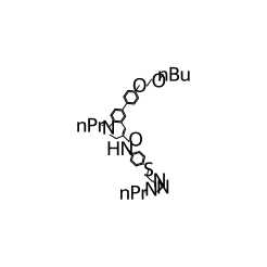 CCCCOCCOc1ccc(-c2ccc3c(c2)C=C(C(=O)Nc2ccc(SCc4nncn4CCC)cc2)CCN3CCC)cc1